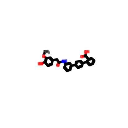 COc1cc(CC(=O)Nc2cccc(-c3ccc(-c4ccccc4C(=O)O)cc3)c2)ccc1O